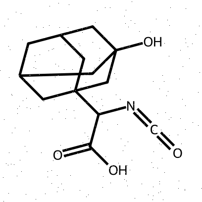 O=C=NC(C(=O)O)C12CC3CC(CC(O)(C3)C1)C2